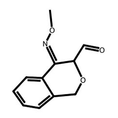 CON=C1c2ccccc2COC1C=O